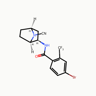 N#CN1[C@H]2CC[C@@H]1[C@H](NC(=O)c1ccc(Br)cc1C(F)(F)F)C2